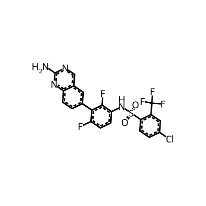 Nc1ncc2cc(-c3c(F)ccc(NS(=O)(=O)c4ccc(Cl)cc4C(F)(F)F)c3F)ccc2n1